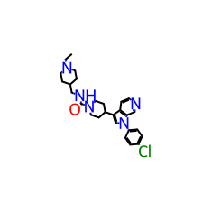 CCN1CCC(CNC(=O)N2CCC(c3cn(-c4ccc(Cl)cc4)c4cnccc34)CC2)CC1